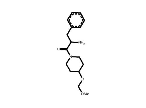 COCOC1CCN(C(=O)C(N)Cc2ccccc2)CC1